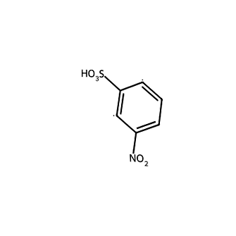 O=[N+]([O-])c1[c]c(S(=O)(=O)O)[c]cc1